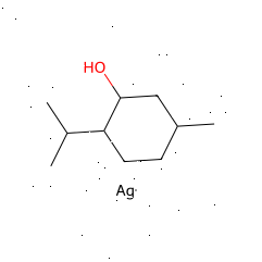 CC1CCC(C(C)C)C(O)C1.[Ag]